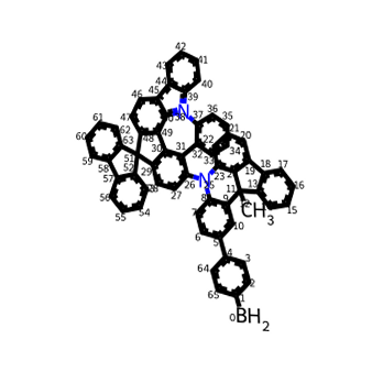 Bc1ccc(-c2ccc3c(c2)C2(C)c4ccccc4-c4cccc(c42)N3c2ccc3c4c2-c2ccccc2-n2c5ccccc5c5ccc(c-4c52)C32c3ccccc3-c3ccccc32)cc1